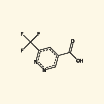 O=C(O)c1cnnc(C(F)(F)F)c1